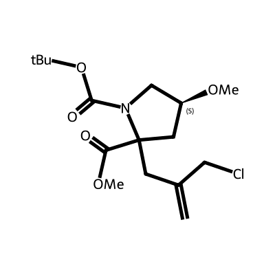 C=C(CCl)CC1(C(=O)OC)C[C@H](OC)CN1C(=O)OC(C)(C)C